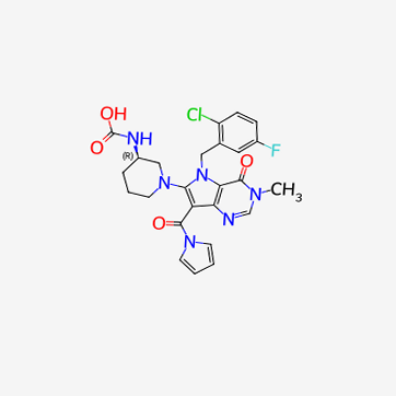 Cn1cnc2c(C(=O)n3cccc3)c(N3CCC[C@@H](NC(=O)O)C3)n(Cc3cc(F)ccc3Cl)c2c1=O